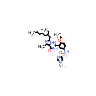 CCCCCC(CC)Cc1nc(C)c2c(=O)[nH]c(-c3cc(NS(=O)(=O)c4cn(C)cn4)ccc3OCC)nn12